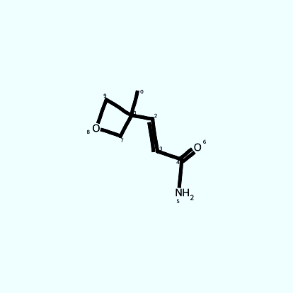 CC1(C=CC(N)=O)COC1